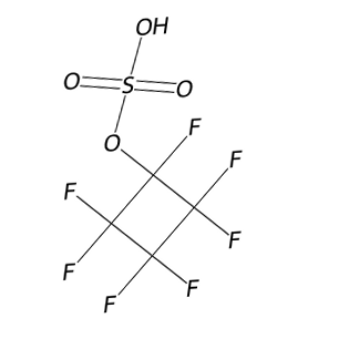 O=S(=O)(O)OC1(F)C(F)(F)C(F)(F)C1(F)F